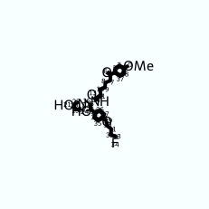 COc1ccc(C(=O)CCCCCC(=O)N[C@H](CN2CCC(O)C2)[C@H](O)c2ccc(OCCCCF)cc2)cc1